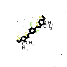 CC1(C)c2ccsc2-c2sc(-c3cc(F)c(-c4cc5c(s4)-c4sccc4C5(C)C)c(F)c3)cc21